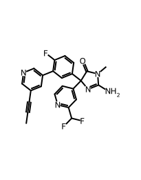 CC#Cc1cncc(-c2cc(C3(c4ccnc(C(F)F)c4)N=C(N)N(C)C3=O)ccc2F)c1